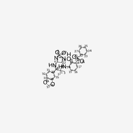 CC(C)(C)[C@@H](NC1=NS(=O)(=O)N=C1Nc1cccc(S(=O)(=O)c2ccccc2)c1O)c1ccc2c(c1)OCO2